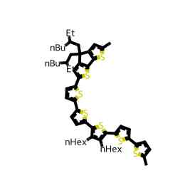 CCCCCCc1c(-c2ccc(-c3ccc(C)s3)s2)sc(-c2ccc(-c3ccc(-c4cc5c(s4)-c4sc(C)cc4C5(CC(CC)CCCC)CC(CC)CCCC)s3)s2)c1CCCCCC